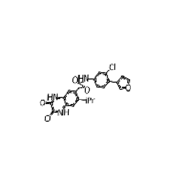 CC(C)c1cc2[nH]c(=O)c(=O)[nH]c2cc1S(=O)(=O)Nc1ccc(-c2ccoc2)c(Cl)c1